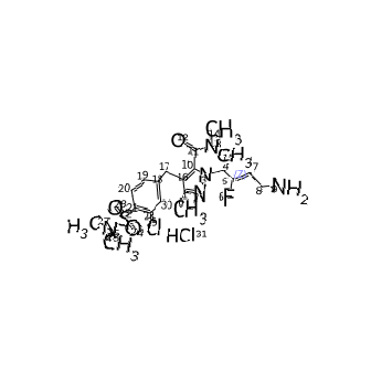 Cc1nn(C/C(F)=C/CN)c(C(=O)N(C)C)c1Cc1ccc(S(=O)(=O)N(C)C)c(Cl)c1.Cl